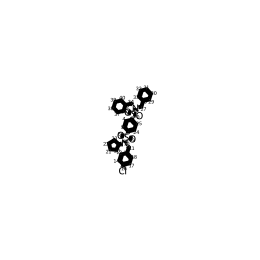 O=S(=O)(c1ccc(S(=O)(=O)N(Cc2ccc(Cl)cc2)C2CCCC2)cc1)N(Cc1ccccc1)CC1CCCCC1